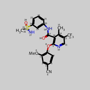 COc1cc(C#N)ccc1Oc1ncc(C(F)(F)F)c(C)c1C(=O)Nc1cccc([S@](C)(=N)=O)c1